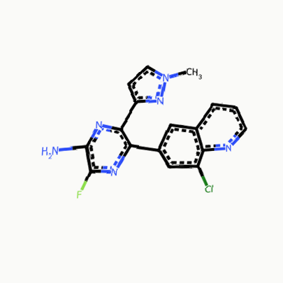 Cn1ccc(-c2nc(N)c(F)nc2-c2cc(Cl)c3ncccc3c2)n1